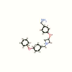 NCc1ccc(OC2CN(Cc3ccc(Oc4ccccc4)cc3)C2)cc1